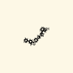 O=C(c1ccc(-c2cccnc2)cc1F)N1CCC(N2C[C](n3cc(-c4ncnc5[nH]ccc45)cn3)C2)CC1